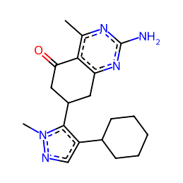 Cc1nc(N)nc2c1C(=O)CC(c1c(C3CCCCC3)cnn1C)C2